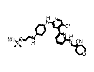 CC(C)(C)[Si](C)(C)OCCN[C@H]1CC[C@H](Nc2cc(-c3cccc(NCC4(C#N)CCOCC4)n3)c(Cl)cn2)CC1